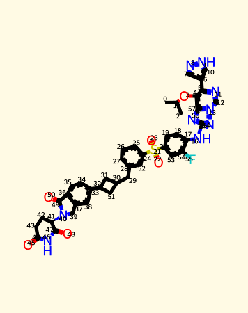 CC(C)Oc1c(-c2cn[nH]c2)ncn2nc(Nc3ccc(S(=O)(=O)c4cccc(CC5CC(c6ccc7c(c6)CN([C@@H]6CCC(=O)NC6=O)C7=O)C5)c4)cc3F)nc12